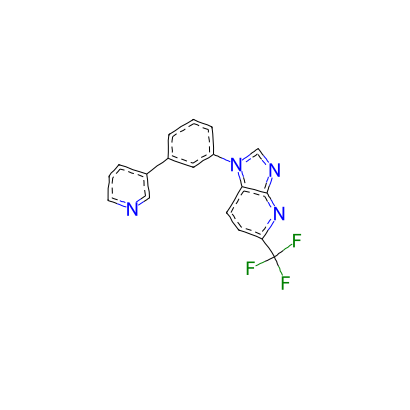 FC(F)(F)c1ccc2c(ncn2-c2cccc(-c3cccnc3)c2)n1